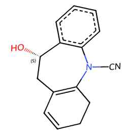 N#CN1C2=C(C=CCC2)C[C@H](O)c2ccccc21